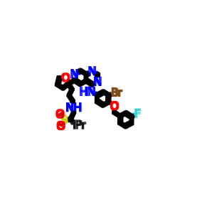 CC(C)C(CNCCCC1(c2cc3c(Nc4ccc(OCc5cccc(F)c5)c(Br)c4)ncnc3cn2)CC=CO1)=S(=O)=O